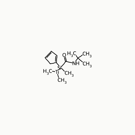 [CH3][Ti]([CH3])[Si](C)(C(=O)NC(C)(C)C)C1=CC=CC1